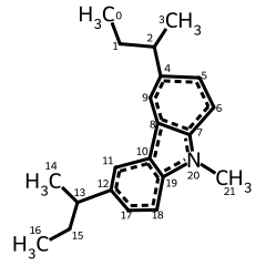 CCC(C)c1ccc2c(c1)c1cc(C(C)CC)ccc1n2C